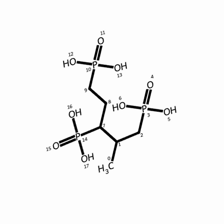 CC(CP(=O)(O)O)C(CCP(=O)(O)O)P(=O)(O)O